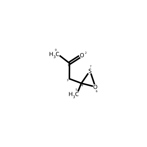 CC(=O)CC1(C)OS1